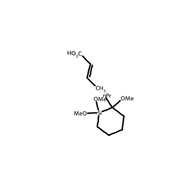 CC=CC(=O)O.CCCC1(OC)CCCC[Si]1(OC)OC